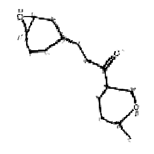 CC1CCC(C(=O)CCC2CCC3OC3C2)CO1